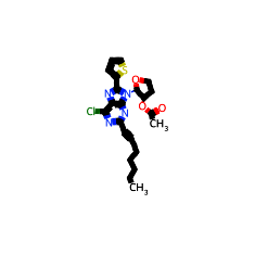 CCCCCC#Cc1nc(Cl)c2nc(-c3cccs3)n([C@@H]3OCC[C@H]3OC(C)=O)c2n1